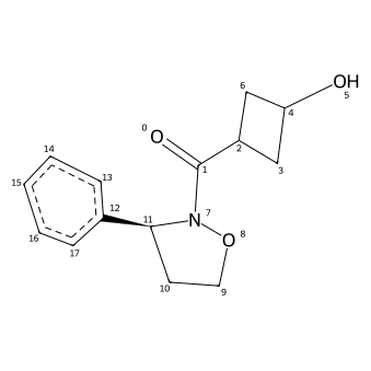 O=C(C1CC(O)C1)N1OCC[C@H]1c1ccccc1